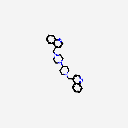 c1ccc2c(CN3CCC(N4CCN(Cc5ccnc6ccccc56)CC4)CC3)ccnc2c1